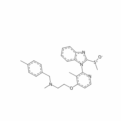 Cc1ccc(CN(C)CCOc2ccnc(-n3c([S+](C)[O-])nc4ccccc43)c2C)cc1